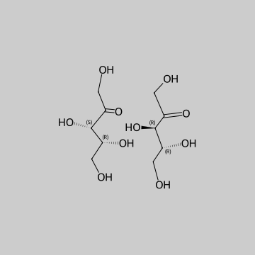 O=C(CO)[C@@H](O)[C@H](O)CO.O=C(CO)[C@H](O)[C@H](O)CO